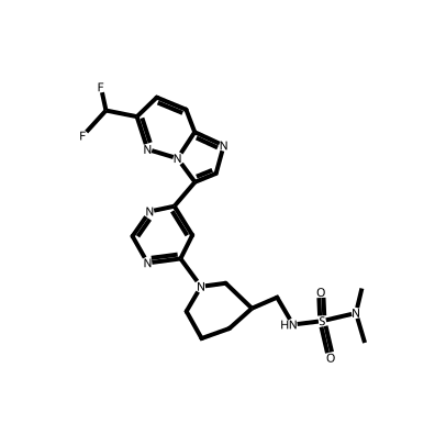 CN(C)S(=O)(=O)NCC1CCCN(c2cc(-c3cnc4ccc(C(F)F)nn34)ncn2)C1